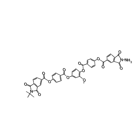 COc1cc(OC(=O)c2ccc(OC(=O)c3ccc4c(c3)C(=O)N(C(C)(C)C)C4=O)cc2)ccc1OC(=O)c1ccc(OC(=O)c2ccc3c(c2)C(=O)N(N)C3=O)cc1